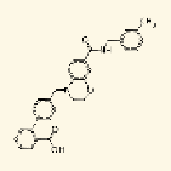 Cc1cccc(CNC(=O)c2ccc3c(c2)OCCN3Cc2ccc(-c3ccccc3C(=O)O)cc2)c1